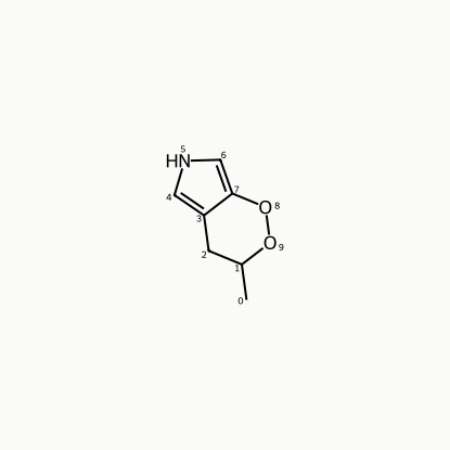 CC1Cc2c[nH]cc2OO1